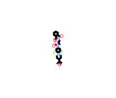 O=C1c2ccccc2C(=O)N1CC1CN(c2cc(F)c(N3CCC(C4COC4)CC3)c(F)c2)C(=O)O1